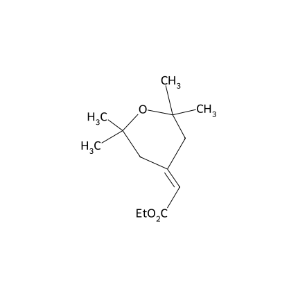 CCOC(=O)C=C1CC(C)(C)OC(C)(C)C1